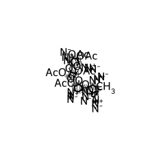 CC(=O)OC[C@H]1O[C@@H](O[C@@H]2[C@@H](OC(C)=O)[C@H](N=[N+]=[N-])C[C@H](N=[N+]=[N-])[C@H]2O[C@H]2O[C@H](CN=[N+]=[N-])C(F)(F)[C@H](C)[C@H]2N=[N+]=[N-])[C@H](OC(C)=O)[C@@H]1O[C@H]1O[C@@H](CN=[N+]=[N-])[C@@H](OC(C)=O)[C@H](OC(C)=O)[C@H]1N=[N+]=[N-]